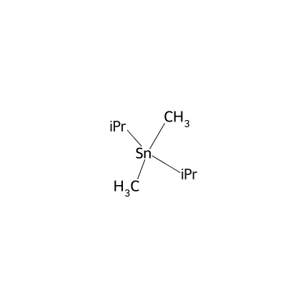 C[CH](C)[Sn]([CH3])([CH3])[CH](C)C